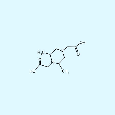 CC1CN(CC(=O)O)CC(C)N1CC(=O)O